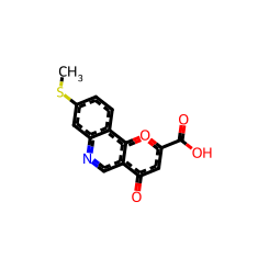 CSc1ccc2c(c1)ncc1c(=O)cc(C(=O)O)oc12